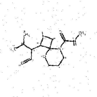 CNC(=O)N1CCCOC12CNC2C(C=O)C(C)C